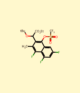 CCOC(=O)C(OC(C)(C)C)c1c(C)c(F)c2c(F)cc(F)cc2c1OS(=O)(=O)C(F)(F)F